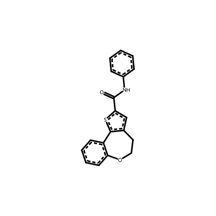 O=C(Nc1ccccc1)c1cc2c(s1)-c1ccccc1OCC2